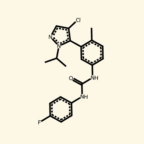 Cc1ccc(NC(=O)Nc2ccc(F)cc2)cc1-c1c(Cl)cnn1C(C)C